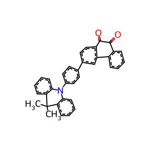 CC1(C)c2ccccc2N(c2ccc(-c3ccc4c(c3)-c3ccccc3C(=O)C4=O)cc2)c2ccccc21